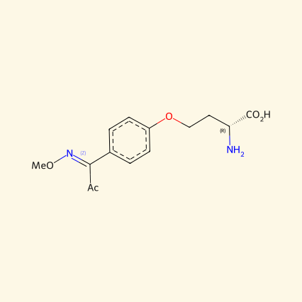 CO/N=C(\C(C)=O)c1ccc(OCC[C@@H](N)C(=O)O)cc1